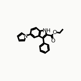 CCOC(=O)c1[nH]c2ccc(-n3cccc3)cc2c1-c1ccccc1